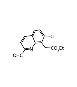 CCOC(=O)Cc1c(Cl)ccc2ccc(C=O)nc12